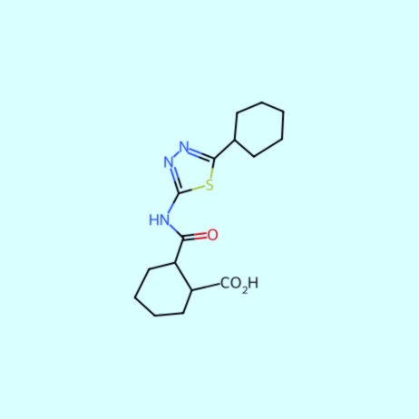 O=C(O)C1CCCCC1C(=O)Nc1nnc(C2CCCCC2)s1